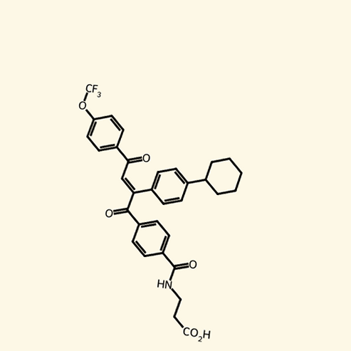 O=C(O)CCNC(=O)c1ccc(C(=O)C(=CC(=O)c2ccc(OC(F)(F)F)cc2)c2ccc(C3CCCCC3)cc2)cc1